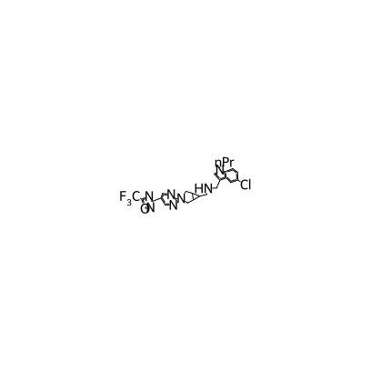 CCCn1cc(CNCC2C3CN(c4ncc(-c5noc(C(F)(F)F)n5)cn4)CC23)c2cc(Cl)ccc21